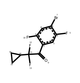 O=C(c1cc(F)c(Br)cc1F)C(F)(F)C1CC1